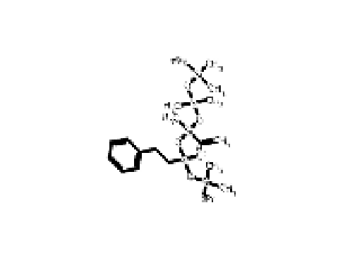 C=C[Si](C)(O[Si](C)(C)O[Si](C)(C)CCCC)O[Si](C)(CCc1ccccc1)O[Si](C)(C)CCC